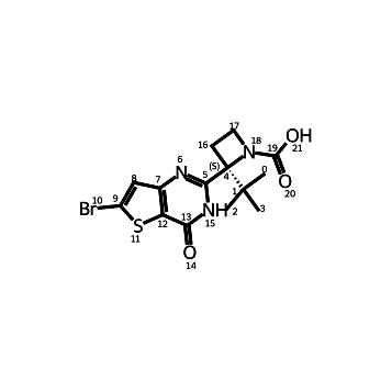 CC(C)(C)[C@]1(c2nc3cc(Br)sc3c(=O)[nH]2)CCN1C(=O)O